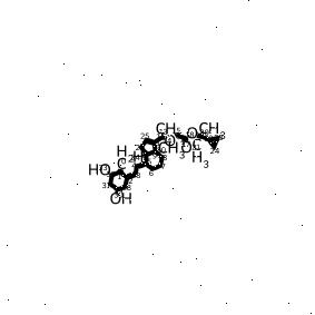 C=C1C(=CC=C2CCC[C@]3(C)C([C@H](C)OCC(=O)OC(C)(C)C4CC4)=CC[C@@H]23)C[C@@H](O)C[C@@H]1O